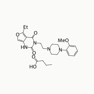 CCCC(=O)O.CCc1occ2[nH]c(=O)n(CCN3CCN(c4ccccc4OC)CC3)c(=O)c12